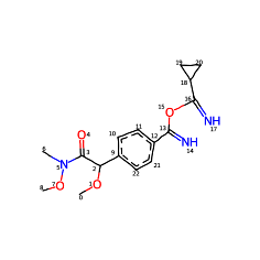 COC(C(=O)N(C)OC)c1ccc(C(=N)OC(=N)C2CC2)cc1